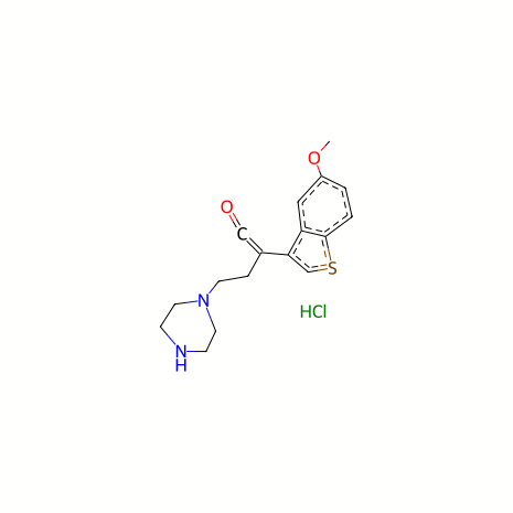 COc1ccc2scc(C(=C=O)CCN3CCNCC3)c2c1.Cl